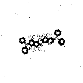 Cc1cc(N(C2=CCCC=C2)c2ccccc2)cc2c1-c1nc3c(nc1C2(C)C)-c1ncc(N(c2ccccc2)c2ccccc2)cc1C3(C)C